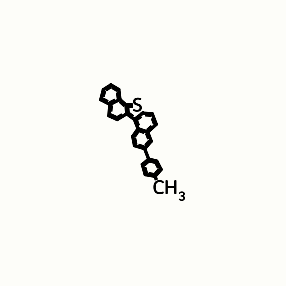 Cc1ccc(-c2ccc3c(ccc4sc5c6ccccc6ccc5c43)c2)cc1